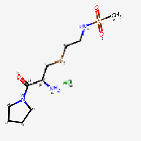 CS(=O)(=O)NCCSC[C@@H](N)C(=O)N1CCCC1.Cl